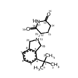 CC(C)(C)c1cccc2c1CN([C@H]1CCC(=O)NC1=O)C2